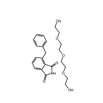 O=C1NC(=O)c2c(Cc3ccccc3)cccc21.OCCOCCOCCOCCO